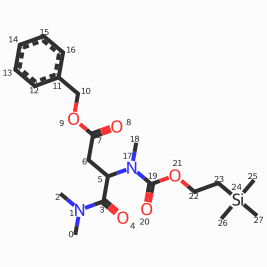 CN(C)C(=O)C(CC(=O)OCc1ccccc1)N(C)C(=O)OCC[Si](C)(C)C